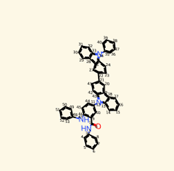 O=C(Nc1ccccc1)c1cc(-n2c3ccccc3c3cc(-c4ccc5c(c4)c4ccccc4n5-c4ccccc4)ccc32)ccc1Nc1ccccc1